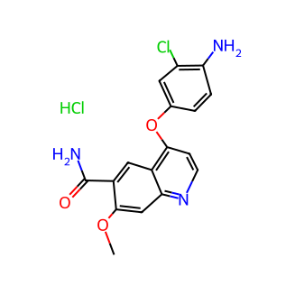 COc1cc2nccc(Oc3ccc(N)c(Cl)c3)c2cc1C(N)=O.Cl